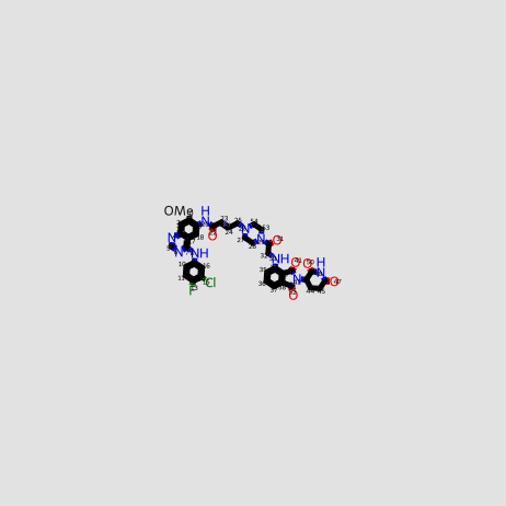 COc1cc2ncnc(Nc3ccc(F)c(Cl)c3)c2cc1NC(=O)/C=C/CN1CCN(C(=O)CNc2cccc3c2C(=O)N(C2CCC(=O)NC2=O)C3=O)CC1